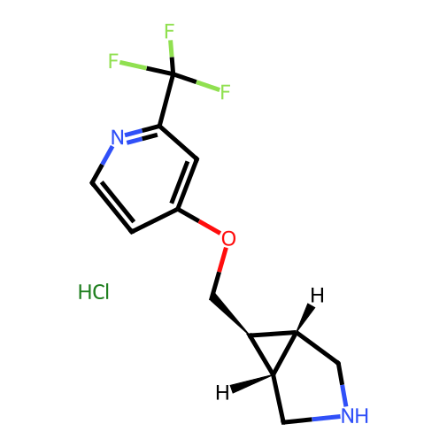 Cl.FC(F)(F)c1cc(OC[C@H]2[C@@H]3CNC[C@@H]32)ccn1